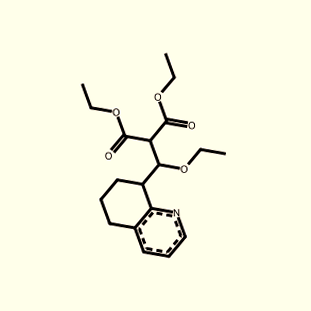 CCOC(=O)C(C(=O)OCC)C(OCC)C1CCCc2cccnc21